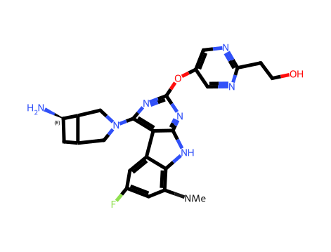 CNc1cc(F)cc2c1[nH]c1nc(Oc3cnc(CCO)nc3)nc(N3CC4C[C@@H](N)C4C3)c12